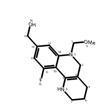 COCN1CC2=C(NCCC2)c2c(F)cc(CO)cc21